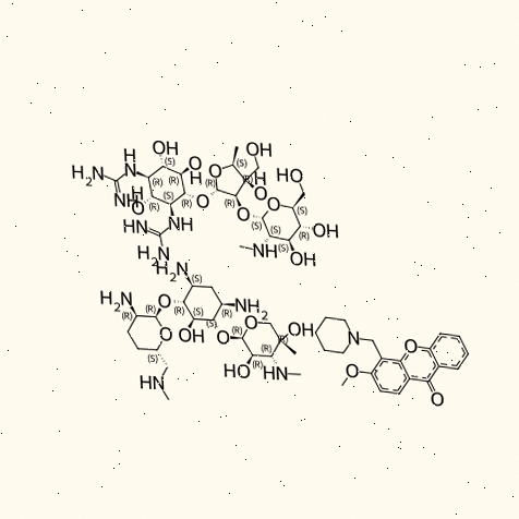 CNC[C@@H]1CC[C@@H](N)[C@@H](O[C@H]2[C@H](O)[C@@H](O[C@H]3OC[C@](C)(O)[C@H](NC)[C@H]3O)[C@H](N)C[C@@H]2N)O1.CN[C@@H]1[C@H](O[C@H]2[C@H](O[C@H]3[C@H](O)[C@@H](O)[C@H](NC(=N)N)[C@@H](O)[C@@H]3NC(=N)N)O[C@@H](C)[C@]2(O)CO)O[C@@H](CO)[C@H](O)[C@H]1O.COc1ccc2c(=O)c3ccccc3oc2c1CN1CCCCC1